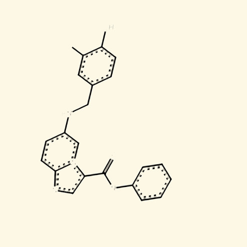 Cc1ccc(CNc2ccc3ncc(C(=O)Nc4ccccc4)n3c2)cc1C